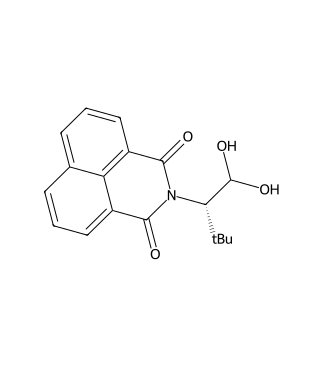 CC(C)(C)[C@@H](C(O)O)N1C(=O)c2cccc3cccc(c23)C1=O